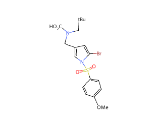 COc1ccc(S(=O)(=O)n2cc(CN(CC(C)(C)C)C(=O)O)cc2Br)cc1